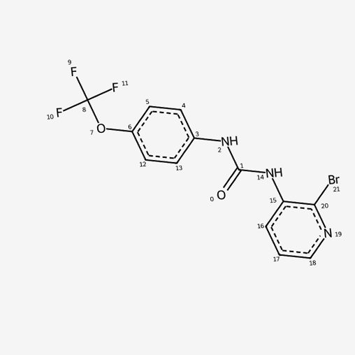 O=C(Nc1ccc(OC(F)(F)F)cc1)Nc1cccnc1Br